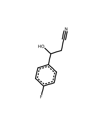 N#CCC(O)c1ccc(F)cc1